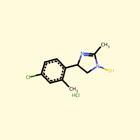 CC1=NC(c2ccc(Cl)cc2C)CN1S.Cl